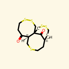 O=C1CCSSCC23CSSCC[C@@H](CCSC[C@@H]12)C3=O